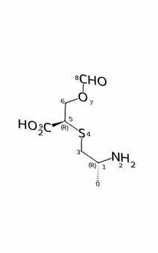 C[C@@H](N)CS[C@H](COC=O)C(=O)O